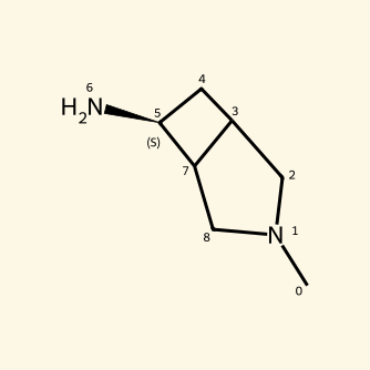 CN1CC2C[C@H](N)C2C1